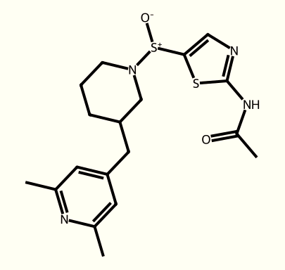 CC(=O)Nc1ncc([S+]([O-])N2CCCC(Cc3cc(C)nc(C)c3)C2)s1